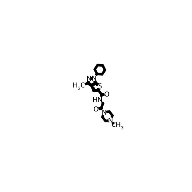 Cc1nn(C2CCCCC2)c2sc(C(=O)NCC(=O)N3CCN(C)CC3)cc12